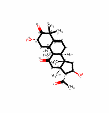 CC(=O)[C@H]1[C@H](O)C[C@@]2(C)[C@@H]3CC=C4[C@@H](C[C@H](O)C(=O)C4(C)C)[C@]3(C)C(=O)C[C@]12C